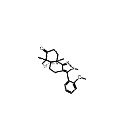 COc1ccccc1-c1c2c(nn1C)[C@@]1(C)CCC(=O)C(C)(C)[C@@H]1CC2